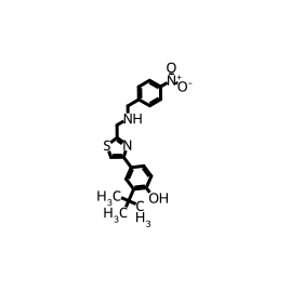 CC(C)(C)c1cc(-c2csc(CNCc3ccc([N+](=O)[O-])cc3)n2)ccc1O